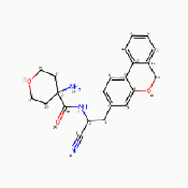 N#CC(Cc1ccc2c(c1)OCc1ccccc1-2)NC(=O)C1(N)CCOCC1